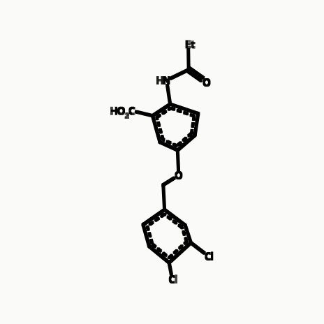 CCC(=O)Nc1ccc(OCc2ccc(Cl)c(Cl)c2)cc1C(=O)O